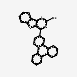 CC(C)(C)c1nc(-c2ccc3c4ccccc4c4ccccc4c3c2)c2sc3ccccc3c2n1